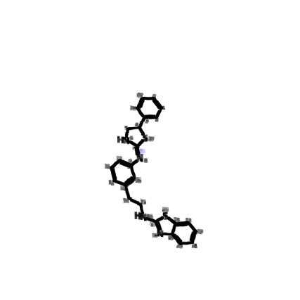 c1ccc(C2CN/C(=N\c3cccc(CCNc4nc5ccccc5s4)c3)S2)cc1